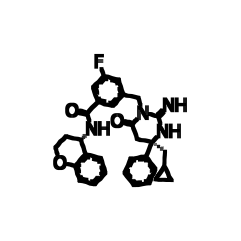 N=C1N[C@@](CC2CC2)(c2ccccc2)CC(=O)N1Cc1cc(F)cc(C(=O)N[C@H]2CCOc3ccccc32)c1